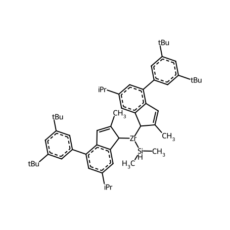 CC1=Cc2c(-c3cc(C(C)(C)C)cc(C(C)(C)C)c3)cc(C(C)C)cc2[CH]1[Zr]([CH]1C(C)=Cc2c(-c3cc(C(C)(C)C)cc(C(C)(C)C)c3)cc(C(C)C)cc21)[SiH](C)C